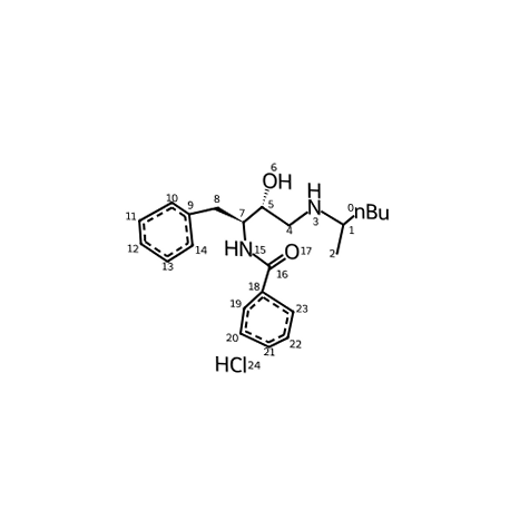 CCCCC(C)NC[C@@H](O)[C@H](Cc1ccccc1)NC(=O)c1ccccc1.Cl